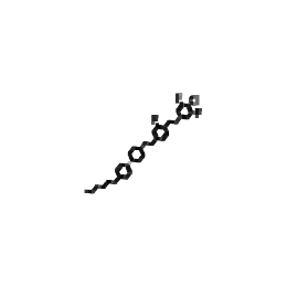 CCCCCCc1ccc([C@H]2CC[C@H](CCc3ccc(CCc4cc(F)c(Cl)c(F)c4)c(F)c3)CC2)cc1